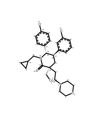 O=C(O)C[C@@]1(CCN2CCOCC2)C[C@H](c2cccc(Cl)c2)[C@@H](c2ccc(Cl)cc2)N(CC2CC2)C1=O